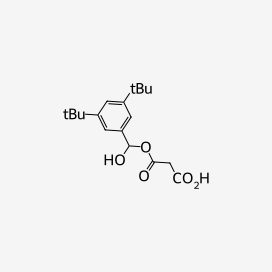 CC(C)(C)c1cc(C(O)OC(=O)CC(=O)O)cc(C(C)(C)C)c1